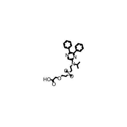 CC(C)N(CCS(=O)(=O)CCOCC(=O)O)c1cnc(-c2ccccc2)c(-c2ccccc2)n1